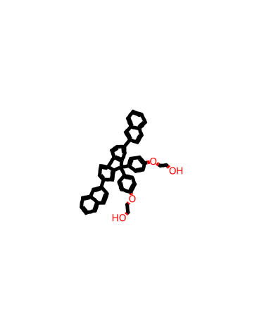 OCCOc1ccc(C2(c3ccc(OCCO)cc3)c3cc(-c4ccc5ccccc5c4)ccc3-c3ccc(-c4ccc5ccccc5c4)cc32)cc1